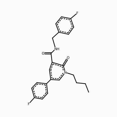 CCCCn1cc(-c2ccc(F)cc2)cc(C(=O)NCc2ccc(F)cc2)c1=O